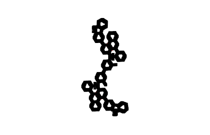 Cc1cc(-c2ccc(N(c3ccc(-c4ccc5sc6ccccc6c5c4)cc3)c3ccccc3-c3ccc4ccccc4c3)c(C)c2)ccc1N(c1ccc(-c2ccc3sc4ccccc4c3c2)cc1)c1ccccc1-c1ccc2ccccc2c1